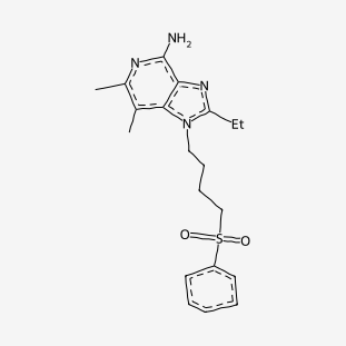 CCc1nc2c(N)nc(C)c(C)c2n1CCCCS(=O)(=O)c1ccccc1